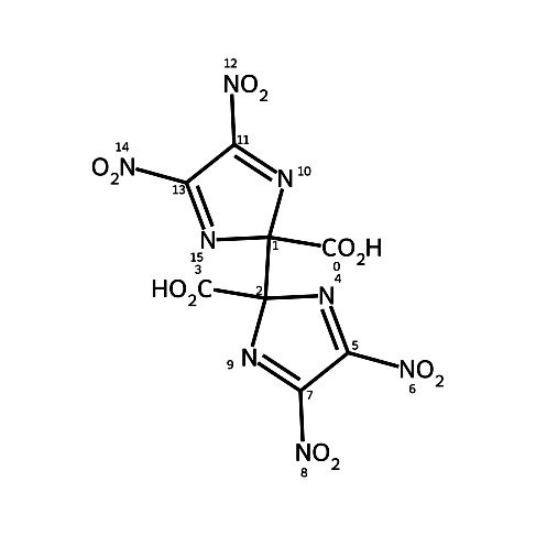 O=C(O)C1(C2(C(=O)O)N=C([N+](=O)[O-])C([N+](=O)[O-])=N2)N=C([N+](=O)[O-])C([N+](=O)[O-])=N1